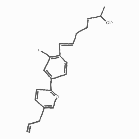 C=CCc1ccc(-c2ccc(/C=C/CCCC(C)O)c(F)c2)nc1